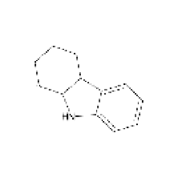 [CH]1CCCC2c3ccccc3NC12